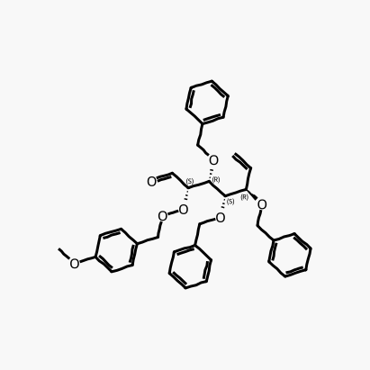 C=C[C@@H](OCc1ccccc1)[C@H](OCc1ccccc1)[C@@H](OCc1ccccc1)[C@@H](C=O)OOCc1ccc(OC)cc1